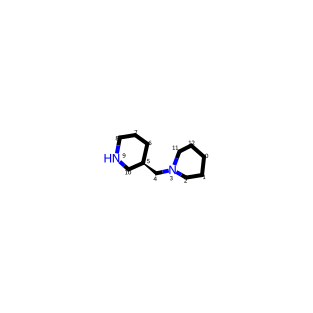 C1CCN(C[C@@H]2CCCNC2)CC1